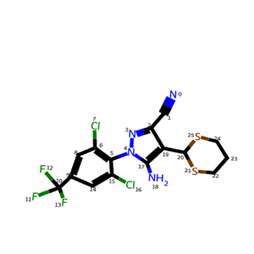 N#Cc1nn(-c2c(Cl)cc(C(F)(F)F)cc2Cl)c(N)c1C1SCCCS1